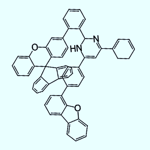 C1=CCCC(C2=NC(c3ccccc3-c3ccc4c(c3)Oc3ccccc3C43c4ccccc4-c4ccccc43)NC(c3ccc(-c4cccc5c4oc4ccccc45)cc3)=C2)=C1